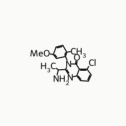 COc1ccc(C)c(-n2c(C(C)N)nc3cccc(Cl)c3c2=O)c1